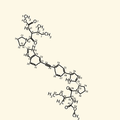 CC[C@H](C)C(NC(=O)OC)C(=O)N1CCC[C@H]1c1nc2ccc(C#Cc3ccc(-c4cnc([C@@H]5CCCN5C(=O)[C@@H](NC(=O)OC)[C@@H](C)OC)[nH]4)cc3)cc2[nH]1